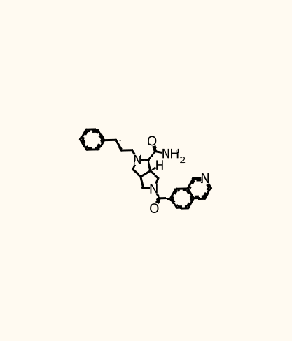 NC(=O)C1[C@@H]2CN(C(=O)c3ccc4ccncc4c3)CC2CN1CC[CH]c1ccccc1